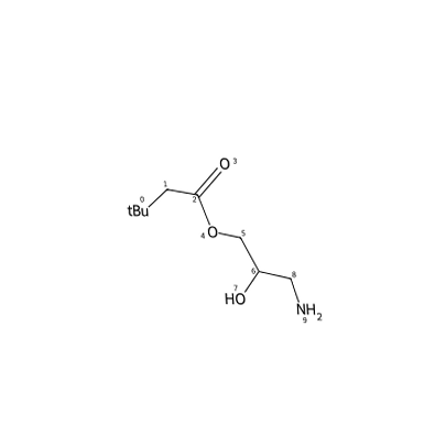 CC(C)(C)CC(=O)OCC(O)CN